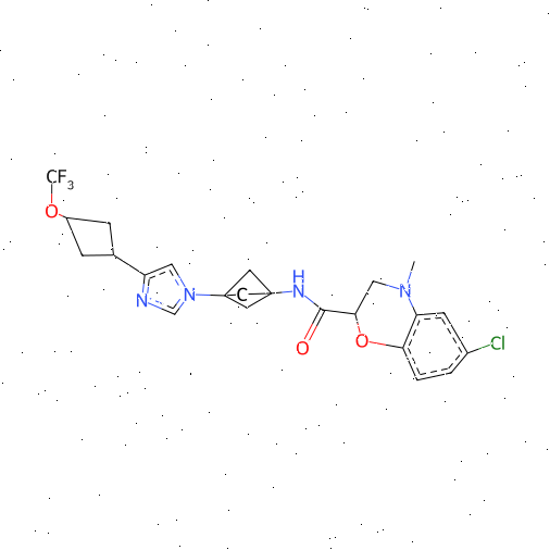 CN1CC(C(=O)NC23CC(n4cnc(C5CC(OC(F)(F)F)C5)c4)(C2)C3)Oc2ccc(Cl)cc21